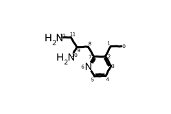 CCc1cccnc1CC(N)CN